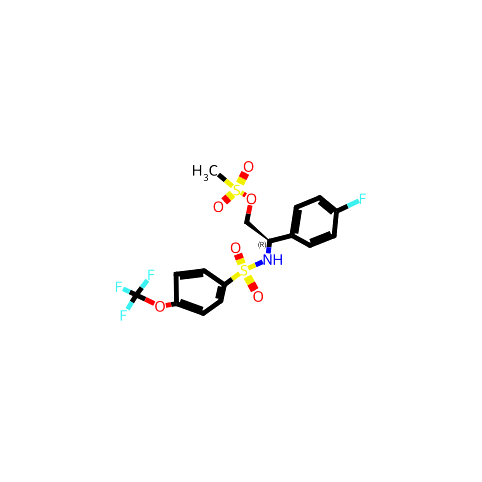 CS(=O)(=O)OC[C@H](NS(=O)(=O)c1ccc(OC(F)(F)F)cc1)c1ccc(F)cc1